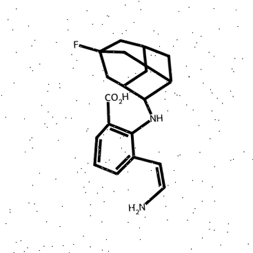 N/C=C\c1cccc(C(=O)O)c1NC1C2CC3CC1CC(F)(C3)C2